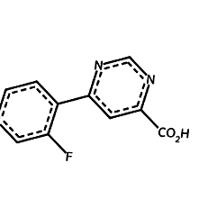 O=C(O)c1cc(-c2ccncc2F)ncn1